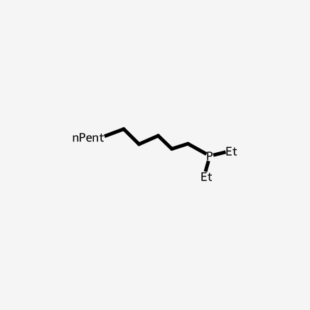 CCCCCCCCCCP(CC)CC